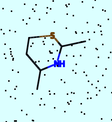 CC1CCSC(C)N1